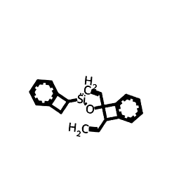 C=CC1c2ccccc2C1(C=C)O[Si]C1Cc2ccccc21